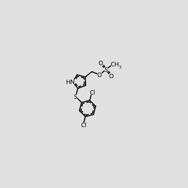 CS(=O)(=O)OCc1c[nH]c(Sc2cc(Cl)ccc2Cl)c1